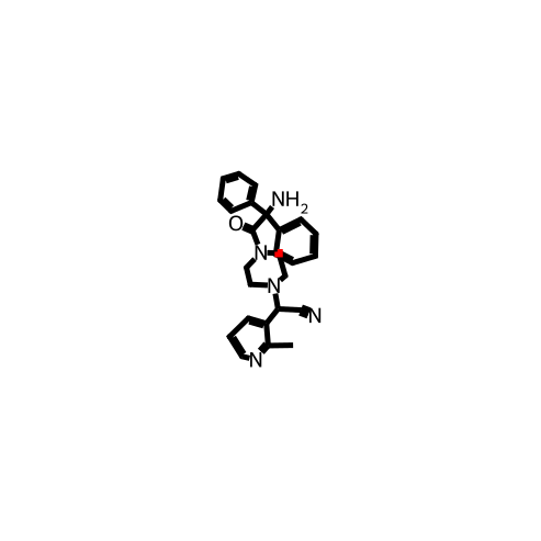 Cc1ncccc1C(C#N)N1CCN(C(=O)C(N)(c2ccccc2)c2ccccc2)CC1